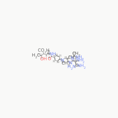 C=C(O)CC[C@@H](NC(=O)c1ccc(N(C)CC(=C)/C=N\C(=N\C(=C)N)C(N)=C(N)N)cc1)C(=O)O